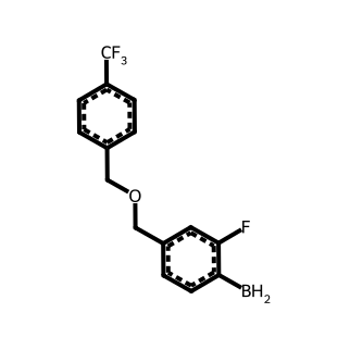 Bc1ccc(COCc2ccc(C(F)(F)F)cc2)cc1F